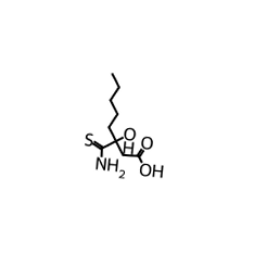 CCCCCC(O)(CC(=O)O)C(N)=S